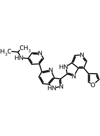 CC(C)Nc1cncc(-c2ccc3[nH]nc(-c4nc5c(-c6ccoc6)cncc5[nH]4)c3n2)c1